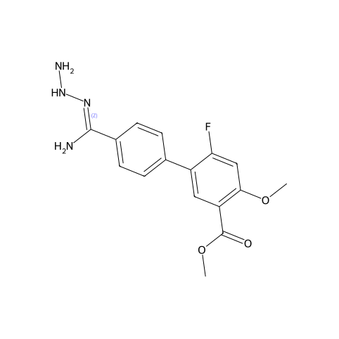 COC(=O)c1cc(-c2ccc(/C(N)=N/NN)cc2)c(F)cc1OC